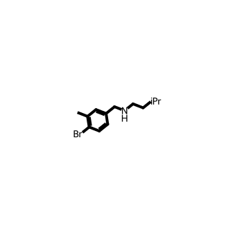 Cc1cc(CNCCC(C)C)ccc1Br